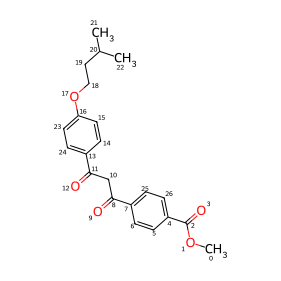 COC(=O)c1ccc(C(=O)CC(=O)c2ccc(OCCC(C)C)cc2)cc1